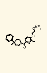 Cc1nc(C(=O)N2CCC(C)(c3ccccc3)CC2)ccc1OCCOC(F)(F)F